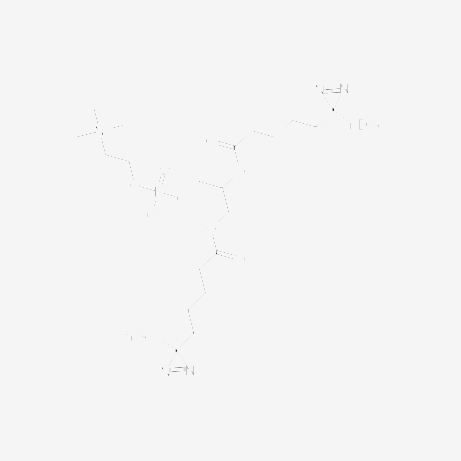 CCCCCCCCCCC1(CCCCC(=O)OCC(COP(=O)([O-])OCC[N+](C)(C)C)OC(=O)CCCCC2(CCCCCCCCCC)N=N2)N=N1